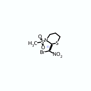 CS(=O)(=O)N1CCCS/C1=C(/Br)[N+](=O)[O-]